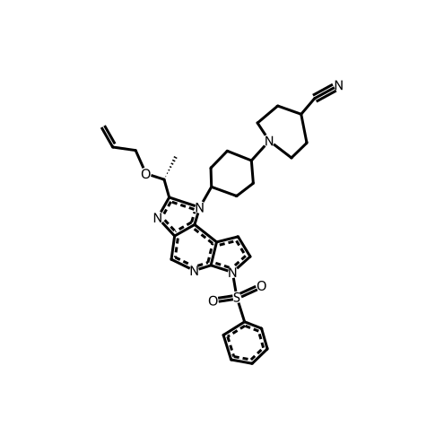 C=CCO[C@H](C)c1nc2cnc3c(ccn3S(=O)(=O)c3ccccc3)c2n1C1CCC(N2CCC(C#N)CC2)CC1